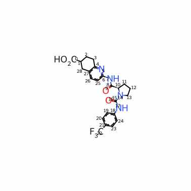 O=C(O)C1CCc2nc(NC(=O)[C@H]3CCCN3C(=O)Nc3ccc(C(F)(F)F)cc3)ccc2C1